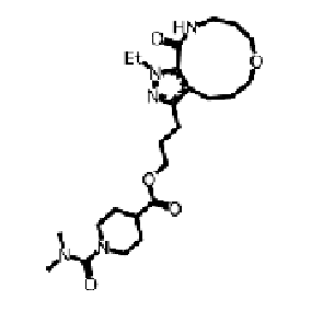 CCn1nc(CCCOC(=O)C2CCN(C(=O)N(C)C)CC2)c2c1C(=O)NCCCOCCC2